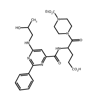 CCOC(=O)N1CCN(C(=O)C(CCC(=O)O)NC(=O)c2cc(NCC(C)O)nc(-c3ccccc3)n2)CC1